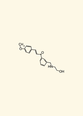 COc1ccc(C=CC(=O)c2cccc(CNCCO)c2)cc1